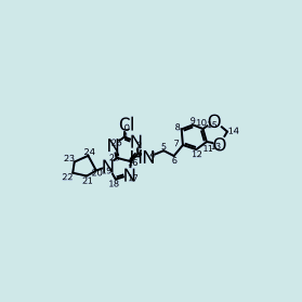 Clc1nc(NCCc2ccc3c(c2)OCO3)c2ncn(C3CCCC3)c2n1